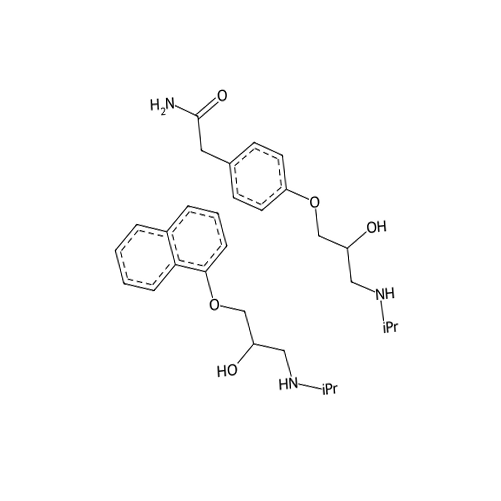 CC(C)NCC(O)COc1ccc(CC(N)=O)cc1.CC(C)NCC(O)COc1cccc2ccccc12